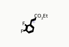 CCOC(=O)/C=C/c1cccc(F)c1F